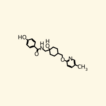 Cc1ccc(OCC2CCC(O)(CNC(=O)c3ccc(O)cc3)CC2)nc1